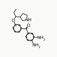 CCC(Oc1cccc(C(=O)c2ccc(N)c(N)c2)c1)C1CCNC1